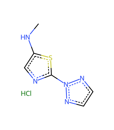 CNc1cnc(-n2nccn2)s1.Cl